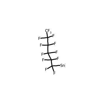 FC(F)(F)C(F)(F)C(F)(F)C(F)(F)C(F)(F)[C](F)(F)[Sn]